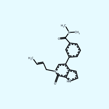 C/C=C/Cn1cc(-c2cccc(C(=O)N(C)C)c2)c2cc[nH]c2c1=O